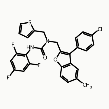 Cc1ccc2oc(CN(Cc3cccs3)C(=O)Nc3c(F)cc(F)cc3F)c(-c3ccc(Cl)cc3)c2c1